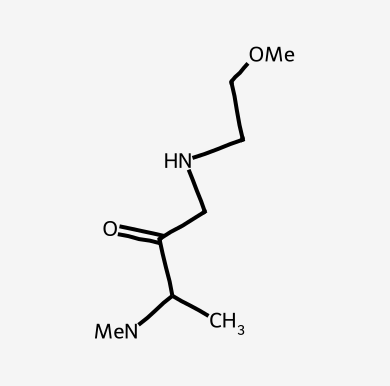 CNC(C)C(=O)CNCCOC